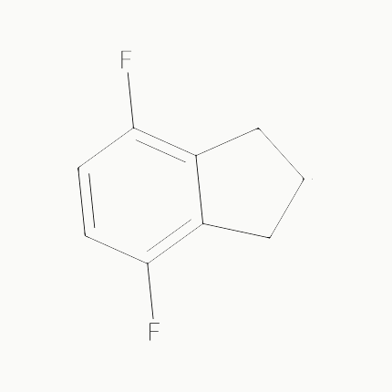 Fc1ccc(F)c2c1C[CH]C2